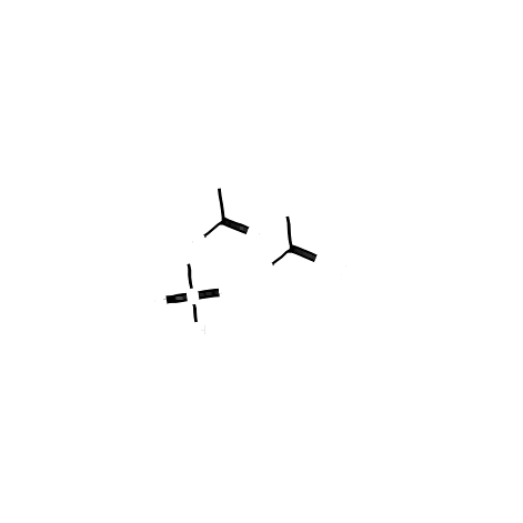 CC(=O)[O-].CC(=O)[O-].CS(=O)(=O)O.[Zn+2]